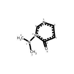 CN(C)n1cnccc1=O